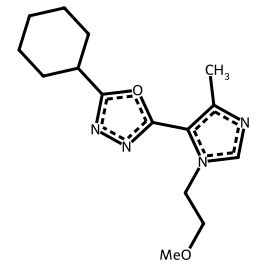 COCCn1cnc(C)c1-c1nnc(C2CCCCC2)o1